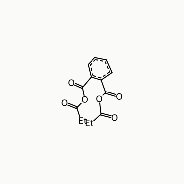 CCC(=O)OC(=O)c1ccccc1C(=O)OC(=O)CC